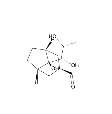 C[C@@H](O)[C@H](O)[C@@]1(O)[C@@H]2CC[C@H]1C[C@H](C=O)C2